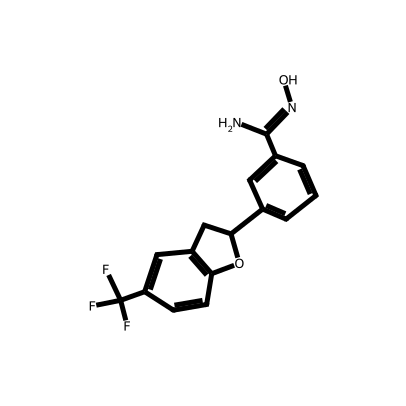 N/C(=N\O)c1cccc(C2Cc3cc(C(F)(F)F)ccc3O2)c1